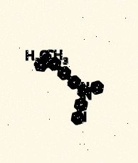 CC1(C)c2ccccc2-c2cc(-c3ccc(-c4ccc(-c5cc(-c6ccc(-c7ccccn7)cc6)nc(-c6ccccc6)n5)cc4)cc3)ccc21